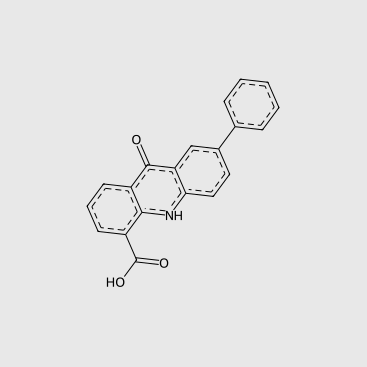 O=C(O)c1cccc2c(=O)c3cc(-c4ccccc4)ccc3[nH]c12